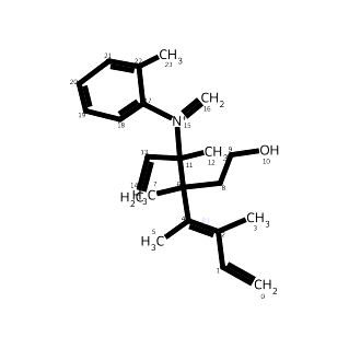 C=C/C(C)=C(\C)C(C)(CCO)C(C)(C=C)[N+](=C)c1ccccc1C